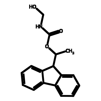 CC(OC(=O)NCO)C1c2ccccc2-c2ccccc21